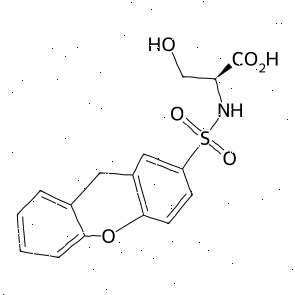 O=C(O)[C@H](CO)NS(=O)(=O)c1ccc2c(c1)Cc1ccccc1O2